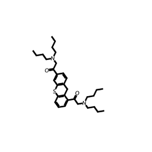 CCCCN(CCCC)CC(=O)c1ccc2c(c1)Sc1cccc(C(=O)CN(CCCC)CCCC)c1C2